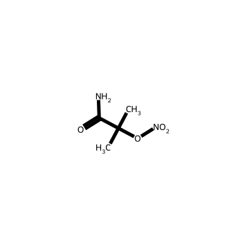 CC(C)(O[N+](=O)[O-])C(N)=O